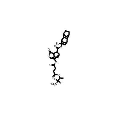 CCC1(OC(=O)C2C3CC4C(OC(=O)C42)C3OC(=O)CCC(=O)OC(C)C(F)(F)S(=O)(=O)O)CC2CC1C1C3CCC(C3)C21